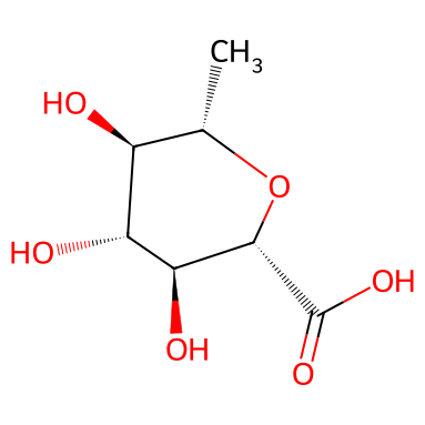 C[C@@H]1O[C@H](C(=O)O)[C@@H](O)[C@H](O)[C@H]1O